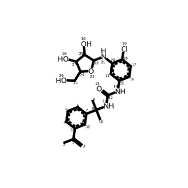 C=C(C)c1cccc(C(C)(C)NC(=O)Nc2ccc(Cl)c(NC3OC(CO)C(O)C3O)c2)c1